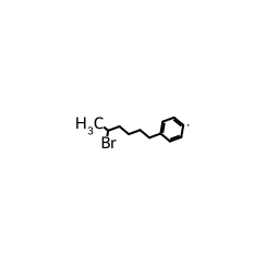 CC(Br)CCCCc1cc[c]cc1